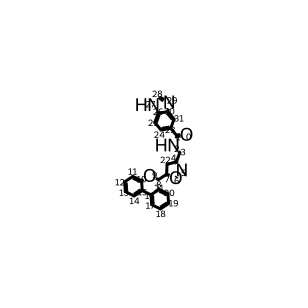 O=C(NCC1=NOC(COc2ccccc2-c2ccccc2)C1)c1ccc2[nH]cnc2c1